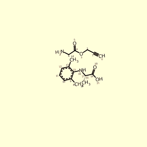 C#CCOC(=O)CN.Cc1cccc(C)c1N[C@@H](C)C(=O)O